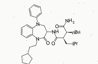 CCCC[C@H](C(N)=O)[C@@H](CC(C)C)C(=O)NC1CN(c2ccccc2)c2ccccc2N(CCC2CCCC2)C1=O